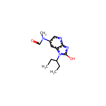 CCC(CC)n1c(O)nc2ncc(N(C)C=O)cc21